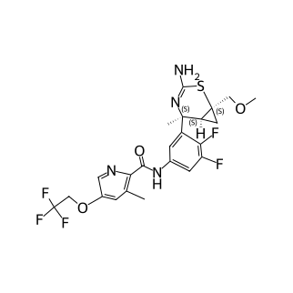 COC[C@]12C[C@H]1[C@@](C)(c1cc(NC(=O)c3ncc(OCC(F)(F)F)cc3C)cc(F)c1F)N=C(N)S2